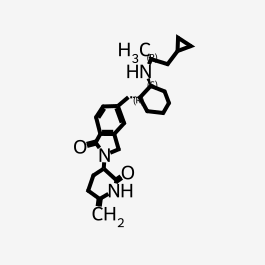 C=C1CCC(N2Cc3cc(C[C@H]4CCCC[C@@H]4N[C@H](C)CC4CC4)ccc3C2=O)C(=O)N1